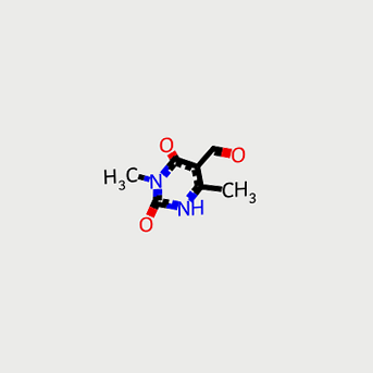 Cc1[nH]c(=O)n(C)c(=O)c1C=O